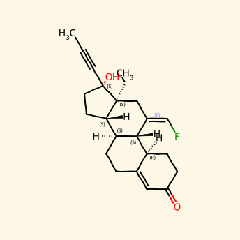 CC#C[C@]1(O)CC[C@H]2[C@@H]3CCC4=CC(=O)CC[C@@H]4[C@H]3/C(=C\F)C[C@@]21CC